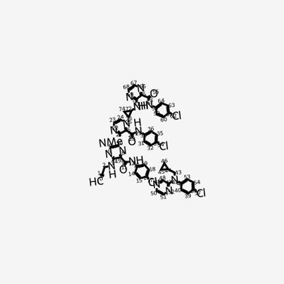 C#CCNc1nccnc1C(=O)Nc1ccc(Cl)cc1.CNc1nccnc1C(=O)Nc1ccc(Cl)cc1.Clc1ccc(N(CC2CC2)c2cnccn2)cc1.O=C(Nc1ccc(Cl)cc1)c1nccnc1NC1CC1